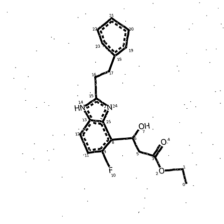 CCOC(=O)CC(O)c1c(F)ccc2[nH]c(CCc3ccccc3)nc12